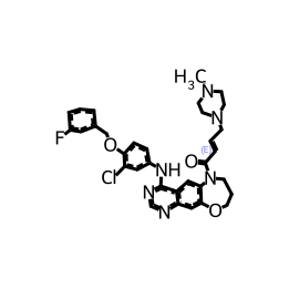 CN1CCN(C/C=C/C(=O)N2CCCOc3cc4ncnc(Nc5ccc(OCc6cccc(F)c6)c(Cl)c5)c4cc32)CC1